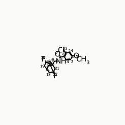 COc1ccc(C(=O)NCC23CC4CC(F)(CC(F)(C4)C2)C3)c(Cl)c1